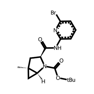 CC(C)(C)OC(=O)N1[C@H]2C[C@@]2(C)C[C@H]1C(=O)Nc1cccc(Br)n1